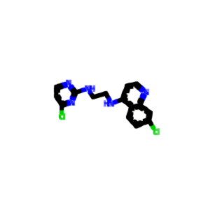 Clc1ccc2c(NCCNc3nccc(Cl)n3)ccnc2c1